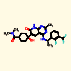 Cc1nc(N[C@H](C)c2cccc(C(F)F)c2F)c2cc(C3(O)CCC(C(=O)N(C)C)CC3)c(=O)[nH]c2n1